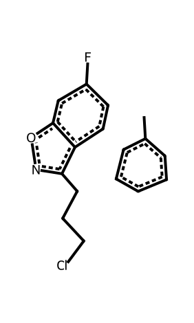 Cc1ccccc1.Fc1ccc2c(CCCCl)noc2c1